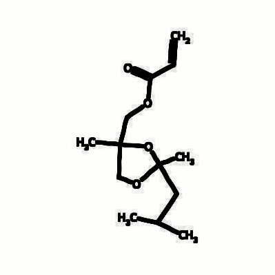 C=CC(=O)OCC1(C)COC(C)(CC(C)C)O1